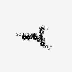 CS(=O)(=O)N1CCN([C@H]2C[C@@H](C(=O)Nc3ccc(C(=O)O)cc3)N(C(=O)c3ccc(C(=N)N)cc3)C2)CC1.O=S(=O)(O)c1ccccc1.O=S(=O)(O)c1ccccc1